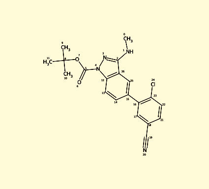 CNc1nn(C(=O)OC(C)(C)C)c2ccc(-c3cc(C#N)ccc3Cl)cc12